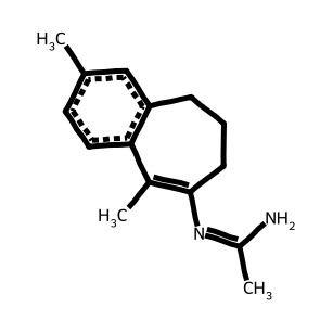 CC1=C(/N=C(/C)N)CCCc2cc(C)ccc21